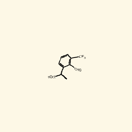 CCCCCCCCC(C)c1cccc(C(F)(F)F)c1C=O